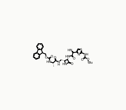 C[C@H](NC(=O)OCC1c2ccccc2-c2ccccc21)C(=O)NC[C@H]1NC(=O)[C@H]1NC(=O)C(=N)c1csc(NC(=O)OC(C)(C)C)n1